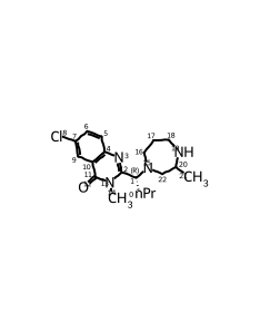 CCC[C@H](c1nc2ccc(Cl)cc2c(=O)n1C)N1CCCNC(C)C1